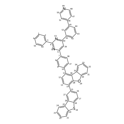 c1ccc(-c2nc(-c3ccc(-c4ccc(-c5ccc6sc7ccccc7c6c5)c5oc6ccccc6c45)cc3)cc(-c3cccc(-c4ccncc4)c3)n2)cc1